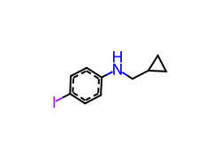 Ic1ccc(NCC2CC2)cc1